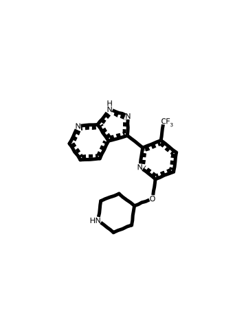 FC(F)(F)c1ccc(OC2CCNCC2)nc1-c1n[nH]c2ncccc12